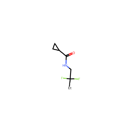 CCC(F)(F)CNC(=O)C1CC1